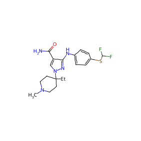 CCC1(n2cc(C(N)=O)c(Nc3ccc(SC(F)F)cc3)n2)CCN(C)CC1